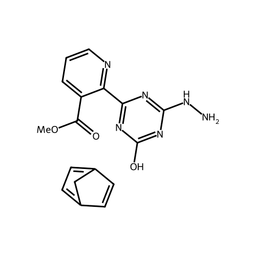 C1=CC2=CC=C1C2.COC(=O)c1cccnc1-c1nc(O)nc(NN)n1